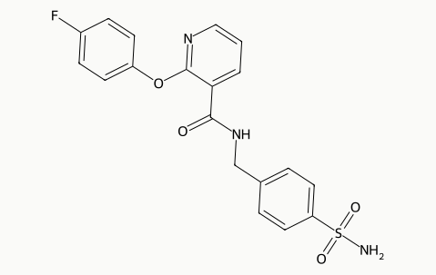 NS(=O)(=O)c1ccc(CNC(=O)c2cccnc2Oc2ccc(F)cc2)cc1